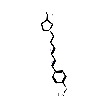 CSc1ccc(/C=C/C=C/CCN2CCC(C)C2)cc1